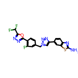 Nc1nc2ccc(-c3cn(Cc4ccc(-c5nnc(C(F)F)o5)c(F)c4)nn3)cc2s1